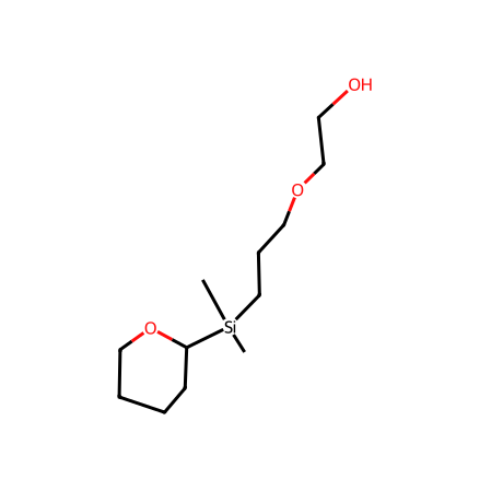 C[Si](C)(CCCOCCO)C1CCCCO1